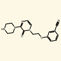 N#Cc1cccc(OCCn2ccnc(N3CCNCC3)c2=O)c1